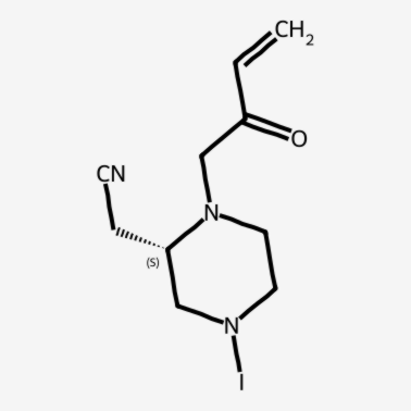 C=CC(=O)CN1CCN(I)C[C@@H]1CC#N